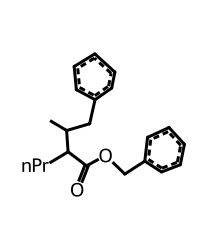 CCCC(C(=O)OCc1ccccc1)C(C)Cc1ccccc1